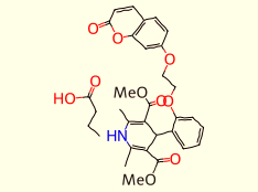 CCCC(=O)O.COC(=O)C1=C(C)NC(C)=C(C(=O)OC)C1c1ccccc1OCCOc1ccc2ccc(=O)oc2c1